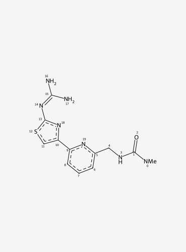 CNC(=O)NCc1cccc(-c2csc(N=C(N)N)n2)n1